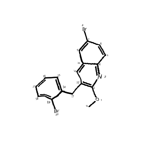 COc1nc2ccc(Br)cc2cc1Cc1ccccc1Br